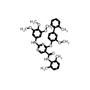 COc1cc(-c2ccccc2C)ccc1Oc1nc(Nc2cc(OC)c(OC)c(OC)c2)ncc1C(=O)Nc1c(C)cccc1C